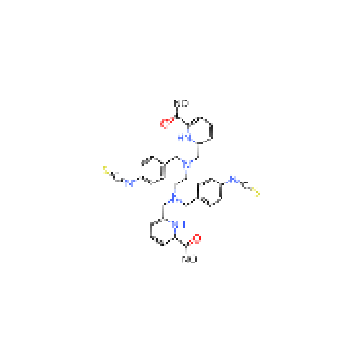 O=NC(=O)C1=CC=CC(CN(CCN(CC2=CC=CC(C(=O)N=O)N2)Cc2ccc(N=C=S)cc2)Cc2ccc(N=C=S)cc2)N1